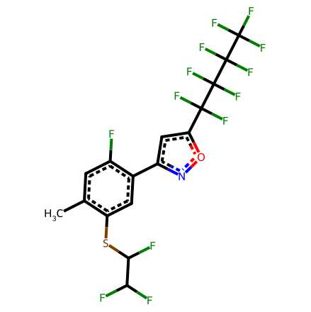 Cc1cc(F)c(-c2cc(C(F)(F)C(F)(F)C(F)(F)C(F)(F)F)on2)cc1SC(F)C(F)F